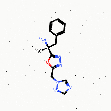 C[C@@](N)(Cc1ccccc1)c1nnc(CN2C=NCN2)o1